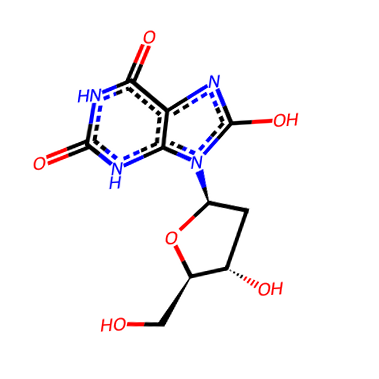 O=c1[nH]c(=O)c2nc(O)n([C@H]3C[C@H](O)[C@@H](CO)O3)c2[nH]1